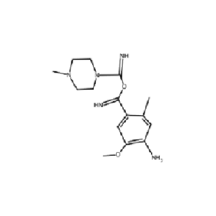 COc1cc(C(=N)OC(=N)N2CCN(C)CC2)c(C)cc1N